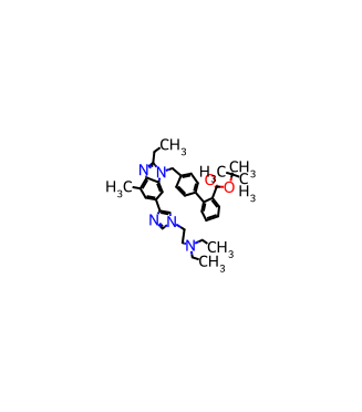 CCc1nc2c(C)cc(-c3cn(CCN(CC)CC)cn3)cc2n1Cc1ccc(-c2ccccc2C(=O)OC(C)(C)C)cc1